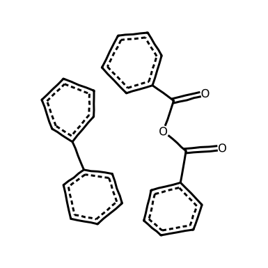 O=C(OC(=O)c1ccccc1)c1ccccc1.c1ccc(-c2ccccc2)cc1